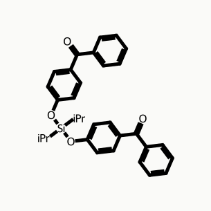 CC(C)[Si](Oc1ccc(C(=O)c2ccccc2)cc1)(Oc1ccc(C(=O)c2ccccc2)cc1)C(C)C